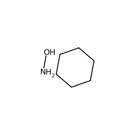 C1CCCCC1.NO